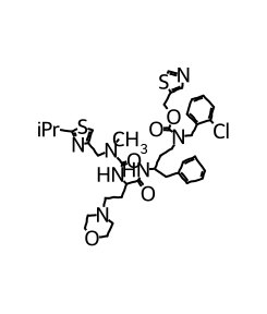 CC(C)c1nc(CN(C)C(=O)NC(CCN2CCOCC2)C(=O)NC(CCN(Cc2ccccc2Cl)C(=O)OCc2cncs2)Cc2ccccc2)cs1